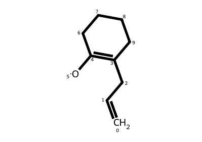 C=CCC1=C([O])CCCC1